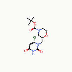 CC(C)(C)OC(=O)N1CCO[C@H](Cn2c(Cl)cc(=O)[nH]c2=O)C1